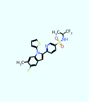 Cc1cc2c(cc1F)cc(-c1ccc(S(=O)(=O)N[C@@H](C)C(F)(F)F)cn1)n2-c1cccs1